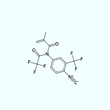 [C-]#[N+]c1ccc(N(C(=O)C(=C)C)C(=O)C(F)(F)F)cc1C(F)(F)F